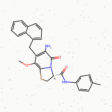 COc1c(Cc2cccc3ccccc23)c(N)c(=O)n2c1SC[C@H]2C(=O)Nc1ccc(C)cc1